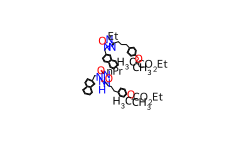 CCCNC(=O)N(Cc1ccc2ccccc2c1)NC(=O)CCCc1ccc(OC(C)(C)C(=O)OCC)cc1.CCOC(=O)C(C)(C)Oc1ccc(CCCc2nn(Cc3ccc4ccccc4c3)c(=O)n2CC)cc1